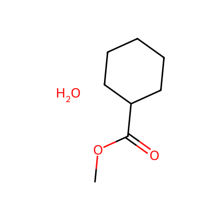 COC(=O)C1CCCCC1.O